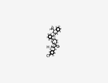 CN(C)CCN(Cc1ccccc1)Cc1ccccc1N1CCCN(C(=O)C(N)Cc2ccc(Cl)cc2)CC1